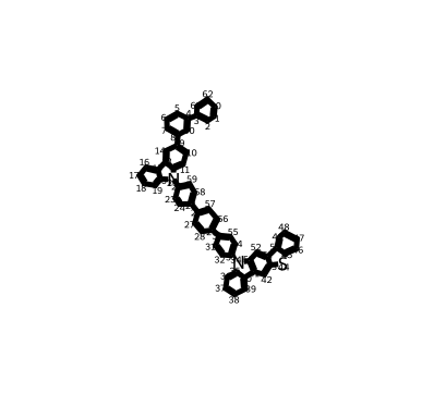 c1ccc(-c2cccc(-c3ccc4c(c3)c3ccccc3n4-c3ccc(-c4ccc(-c5ccc(-n6c7ccccc7c7cc8sc9ccccc9c8cc76)cc5)cc4)cc3)c2)cc1